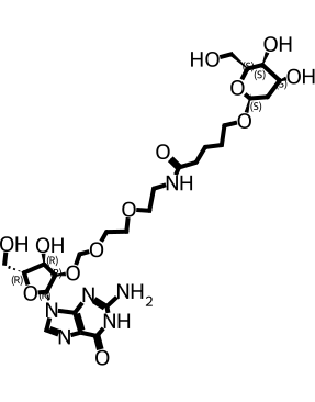 Nc1nc2c(ncn2[C@@H]2O[C@H](CO)[C@@H](O)[C@H]2OCOCCOCCNC(=O)CCCCO[C@@H]2C[C@H](O)[C@H](O)[C@H](CO)O2)c(=O)[nH]1